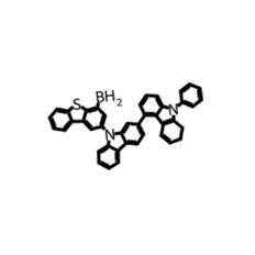 Bc1cc(-n2c3ccccc3c3ccc(-c4cccc5c4c4c(n5-c5ccccc5)CCC=C4)cc32)cc2c1sc1ccccc12